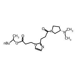 CCCCC(C)OC(=O)CCn1ccnc1CCC(=O)N1CC[C@H](N(C)C)C1